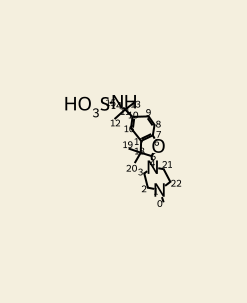 CN1CCN(C2Oc3ccc(C(C)(C)NS(=O)(=O)O)cc3C2(C)C)CC1